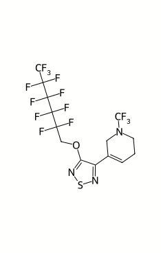 FC(F)(F)N1CCC=C(c2nsnc2OCC(F)(F)C(F)(F)C(F)(F)C(F)(F)C(F)(F)F)C1